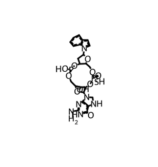 Nc1nc2c(c(=O)[nH]1)NCN2C1OC2COP(O)OC3CC(n4ccc5ccccc54)OC3COP(=O)(S)OC1C2O